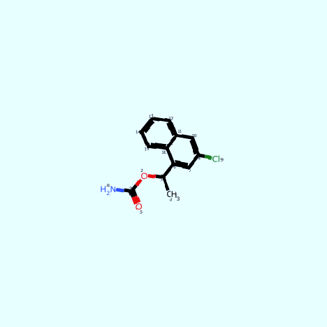 CC(OC(N)=O)c1cc(Cl)cc2ccccc12